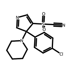 N#CS(=O)(=O)C1=[C]N=CC1(c1ccc(Cl)cc1)N1CCCCC1